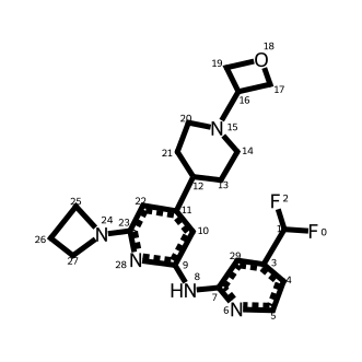 FC(F)c1ccnc(Nc2cc(C3CCN(C4COC4)CC3)cc(N3CCC3)n2)c1